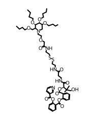 CCCCOCC1[C@@H](OCCCC)[C@H](OCCCC)C(OCCCC)CN1CCOCC(=O)NCCSSCCNC(=O)CCNC(=O)[C@H](OC(=O)c1ccccc1OC(=O)c1ccccc1OC(=O)c1cccnc1)C(C)(C)CO